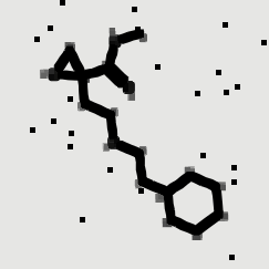 COC(=O)C1(CCOCCC2CCCCC2)CO1